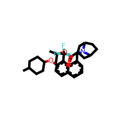 CC1CCC(Oc2ccc3cccc(CN4C5CCC4CC(C(=O)OC(C)C)C5)c3c2C(F)(F)F)CC1